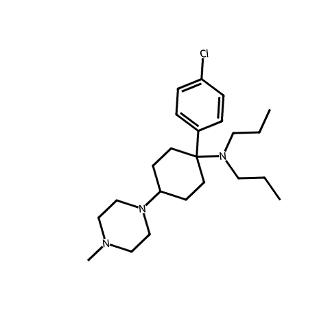 CCCN(CCC)C1(c2ccc(Cl)cc2)CCC(N2CCN(C)CC2)CC1